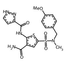 COc1ccc(CN(C)S(=O)(=O)c2cc(C(N)=O)c(NC(=O)c3cc[nH]n3)s2)cc1